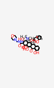 CCC(=O)O[C@@H]1[C@@H]2C(=C(O)[C@@]3(O)C(=O)C(C(=O)NCN4CCOCC4)=C(O)[C@H](N(C)C)[C@@H]13)C(=O)c1c(O)cccc1[C@H]2COC1CCCC1